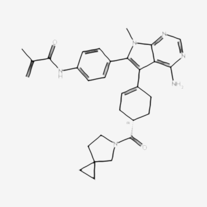 C=C(C)C(=O)Nc1ccc(-c2c(C3=CC[C@@H](C(=O)N4CCC5(CC5)C4)CC3)c3c(N)ncnc3n2C)cc1